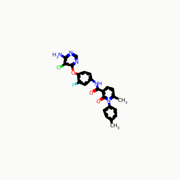 Cc1ccc(-n2c(C)ccc(C(=O)Nc3ccc(Oc4ncnc(N)c4Cl)c(F)c3)c2=O)cc1